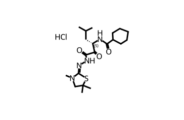 CC(C)C[C@H](NC(=O)C1CCCCC1)C(=O)C(=O)NN=C1SC(C)(C)CN1C.Cl